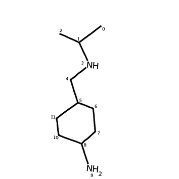 CC(C)NCC1CCC(N)CC1